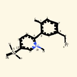 Cc1ccc(CC(C)C)cc1-c1ccc([Si](C)(C)C)c[n+]1C